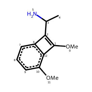 COC1=C(C(C)N)c2cccc(OC)c21